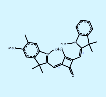 CCCCCCCCCCN1/C(=C\C2=C(O)C(=C\C3=[N+](CCCCCCCCCC)c4cc(C)c(OC)cc4C3(C)C)/C2=O)C(C)(C)c2ccccc21